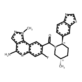 C[C@H]1CC[C@H](c2ccc3ncsc3c2)N(C(=O)c2cc3c(cc2F)nc(N)c2cnn(C)c23)C1